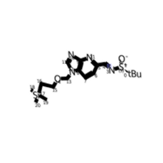 CC(C)(C)[S@@+]([O-])/N=C/c1ccc2c(ncn2COCC[Si](C)(C)C)n1